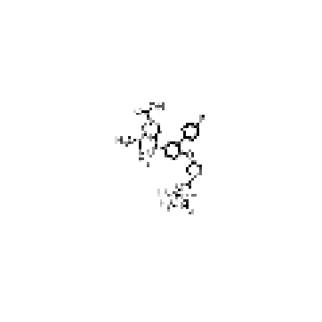 CC(C)[C@H]1CN(C(=O)O)CCN1C(=O)c1ccc(O[C@H]2CCN(C(=O)OC(C)(C)C)C2)c(-c2ccc(F)cc2)c1